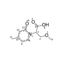 COCC(C(=O)O)n1ccc(C)cc1=O